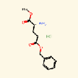 CC(C)(C)OC(=O)[C@H](N)CCC(=O)OCc1ccccc1.Cl